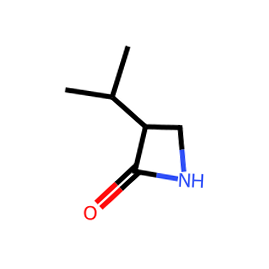 CC(C)C1CNC1=O